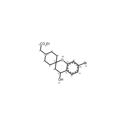 CCOC(=O)CN1CCC2(CC1)CC(O)c1ccc(Br)cc1O2